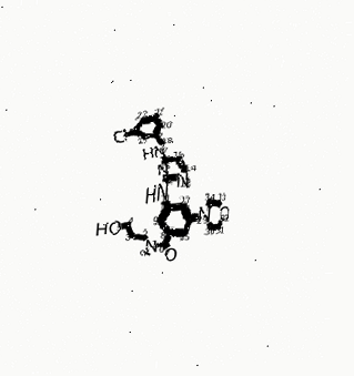 CN(CCCO)C(=O)c1cc(Nc2nccc(NCc3cccc(Cl)c3)n2)cc(N2CCOCC2)c1